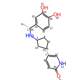 C[C@@H](NC1CC[C@H](c2ccc(=O)[nH]c2)C1)c1ccc(O)c(O)c1